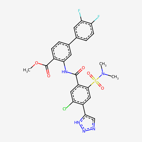 COC(=O)c1ccc(-c2ccc(F)c(F)c2)cc1NC(=O)c1cc(Cl)c(-c2cnn[nH]2)cc1S(=O)(=O)N(C)C